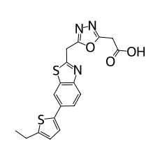 CCc1ccc(-c2ccc3nc(Cc4nnc(CC(=O)O)o4)sc3c2)s1